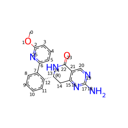 COc1cccc(-c2ccccc2[C@H]2Cc3nc(N)ncc3C(=O)N2)n1